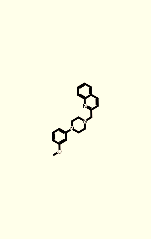 COc1cccc(N2CCN(Cc3ccc4ccccc4n3)CC2)c1